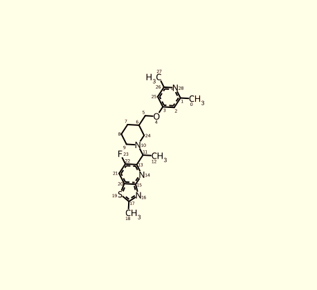 Cc1cc(OCC2CCCN(C(C)c3nc4nc(C)sc4cc3F)C2)cc(C)n1